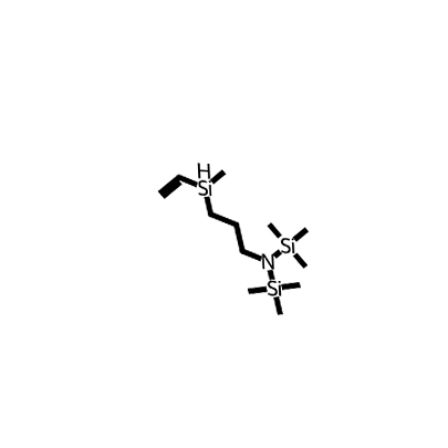 C=C[SiH](C)CCCN([Si](C)(C)C)[Si](C)(C)C